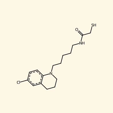 O=C(CS)NCCCCCN1CCCc2cc(Cl)ccc21